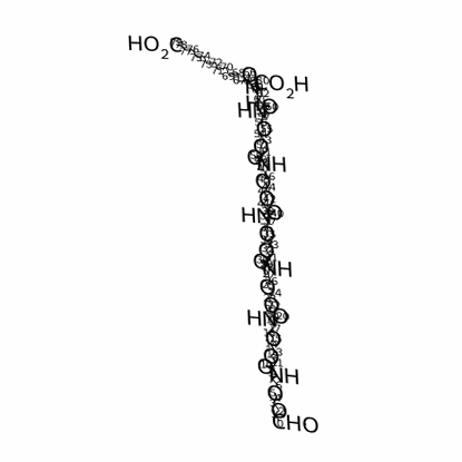 O=[C]COCCOCCNC(=O)COCCOCCNC(=O)COCCOCCNC(=O)COCCOCCNC(=O)COCCOCCNC(=O)COCCOCCNC(=O)CC[C@H](NC(=O)CCCCCCCCCCCCC(=O)O)C(=O)O